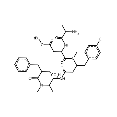 CC(N)C(=O)NC(CC(=O)OC(C)(C)C)C(=O)N(C)C(CC(=O)NCC(C)N(C)C(=O)C(CC(=O)O)Cc1ccccc1)Cc1ccc(Cl)cc1